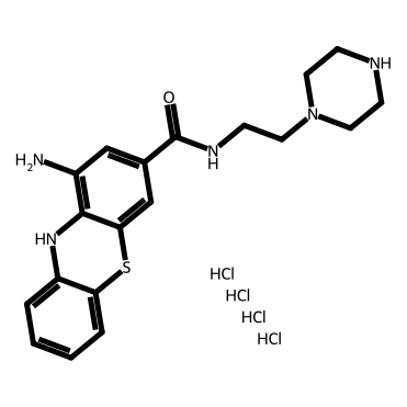 Cl.Cl.Cl.Cl.Nc1cc(C(=O)NCCN2CCNCC2)cc2c1Nc1ccccc1S2